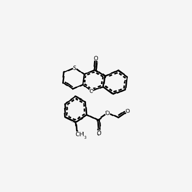 Cc1ccccc1C(=O)OC=O.O=c1c2c(oc3ccccc13)C=CCS2